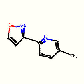 Cc1ccc(-c2ccon2)nc1